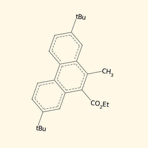 CCOC(=O)c1c(C)c2cc(C(C)(C)C)ccc2c2ccc(C(C)(C)C)cc12